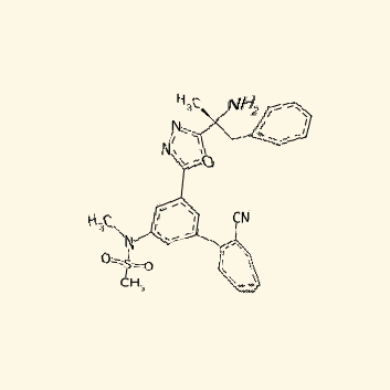 CN(c1cc(-c2nnc([C@](C)(N)Cc3ccccc3)o2)cc(-c2ccccc2C#N)c1)S(C)(=O)=O